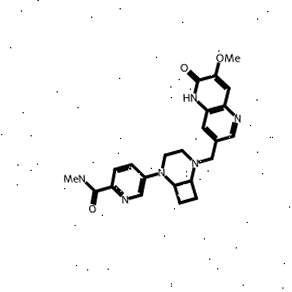 CNC(=O)c1ccc(N2CCN(Cc3cnc4cc(OC)c(=O)[nH]c4c3)C3CCC32)cn1